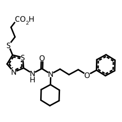 O=C(O)CCSc1cnc(NC(=O)N(CCCOc2ccccc2)C2CCCCC2)s1